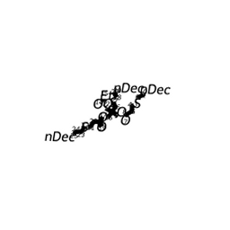 CCCCCCCCCCCCSCCC(=O)OCC(COC(=O)CC)(COC(=O)CCSCCCCCCCCCCCC)CSCCCCCCCCCCCC